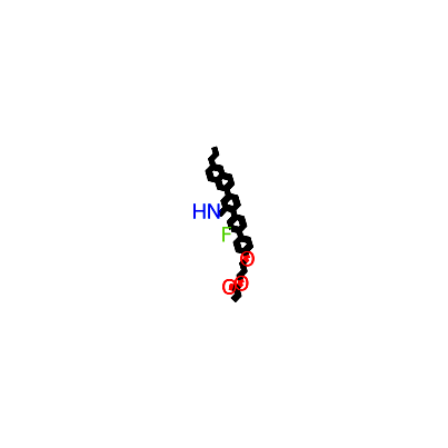 C=CC(=O)OCCCOc1ccc(-c2ccc(-c3ccc(-c4ccc5cc(CCC)ccc5c4)cc3C=N)cc2F)cc1